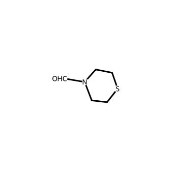 O=CN1CCSCC1